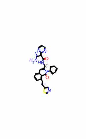 C[C@@H](NC(=O)c1c(N)nn2cccnc12)c1cc2cccc(/C=C/c3cncs3)c2c(=O)n1-c1ccccc1